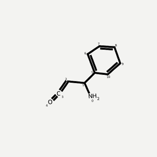 NC(C=C=O)c1ccccc1